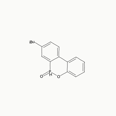 CCC(C)c1ccc2c(c1)[PH](=O)Oc1ccccc1-2